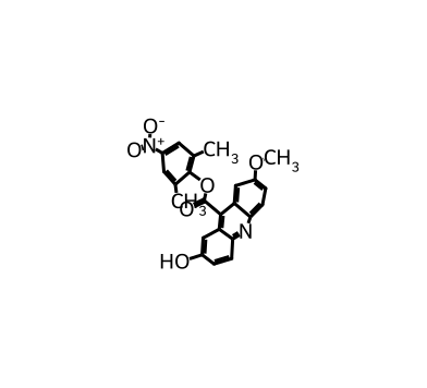 COc1ccc2nc3ccc(O)cc3c(C(=O)Oc3c(C)cc([N+](=O)[O-])cc3C)c2c1